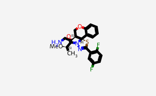 CO[C@@H](C)C(=O)N1N=C(c2cc(F)ccc2F)S[C@]12c1ccccc1OC[C@@H]2CCN